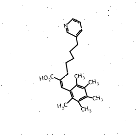 Cc1c(C)c(C)c(/C=C(\CCCCCc2cccnc2)C(=O)O)c(C)c1C